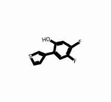 Oc1cc(F)c(F)cc1-c1ccsc1